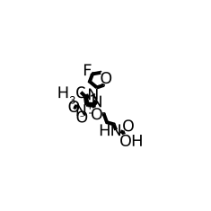 Cc1c([N+](=O)[O-])c(OCCCNC(=O)O)nn1C1COCC(F)C1